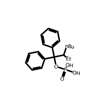 CCCCC(CC)C(OP(=O)(O)O)(c1ccccc1)c1ccccc1